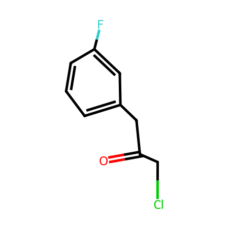 O=C(CCl)Cc1cccc(F)c1